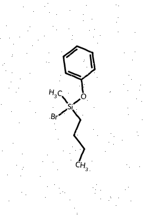 CCCC[Si](C)(Br)Oc1ccccc1